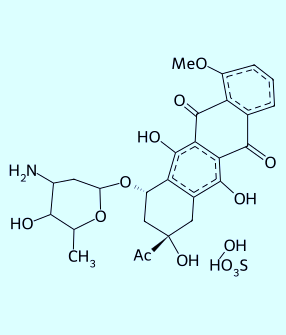 COc1cccc2c1C(=O)c1c(O)c3c(c(O)c1C2=O)C[C@@](O)(C(C)=O)C[C@@H]3OC1CC(N)C(O)C(C)O1.O=S(=O)(O)O